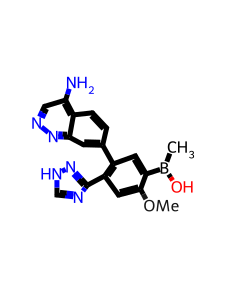 COc1cc(-c2nc[nH]n2)c(-c2ccc3c(N)cnnc3c2)cc1B(C)O